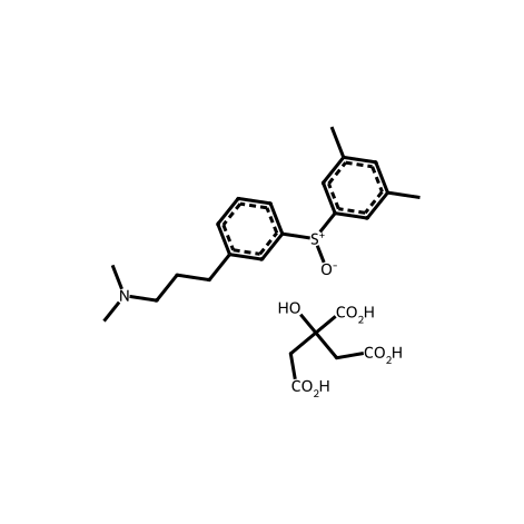 Cc1cc(C)cc([S+]([O-])c2cccc(CCCN(C)C)c2)c1.O=C(O)CC(O)(CC(=O)O)C(=O)O